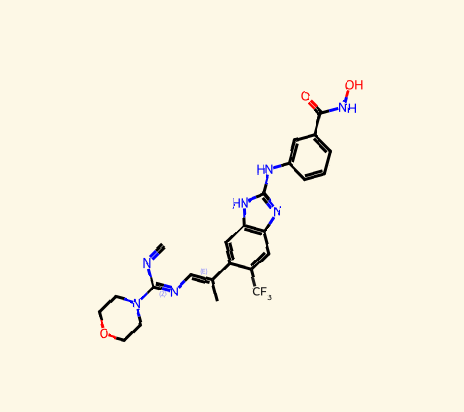 C=N/C(=N\C=C(/C)c1cc2[nH]c(Nc3cccc(C(=O)NO)c3)nc2cc1C(F)(F)F)N1CCOCC1